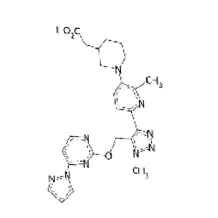 Cc1nc(-c2nnn(C)c2COc2nccc(-n3cccn3)n2)ccc1N1CCCC(CC(=O)O)C1